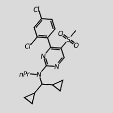 CCCN(c1ncc(S(C)(=O)=O)c(-c2ccc(Cl)cc2Cl)n1)C(C1CC1)C1CC1